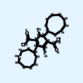 O=C(Cl)c1c(F)c(C2CCCCCCCC2)c(C(=O)Cl)c(F)c1C1CCCCCCCC1